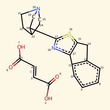 O=C(O)/C=C/C(=O)O.c1ccc2c(c1)Cc1sc(C3CN4CCC3CC4)nc1-2